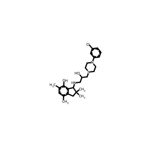 Cc1cc(C)c2c(c1O)C(NCC(O)CN1CCN(c3cccc(Cl)c3)CC1)C(C)(C)C2